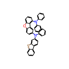 c1ccc(N(c2ccc3c(c2)sc2ccccc23)c2ccc3oc4cccc(N(c5ccccc5)c5ccccc5)c4c3c2)cc1